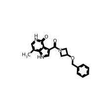 Cc1c[nH]c(=O)c2c(C(=O)N3CC(OCc4ccccc4)C3)c[nH]c12